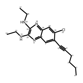 CCCCC#Cc1cc2nc(NCC)c(NCC)nc2cc1Cl